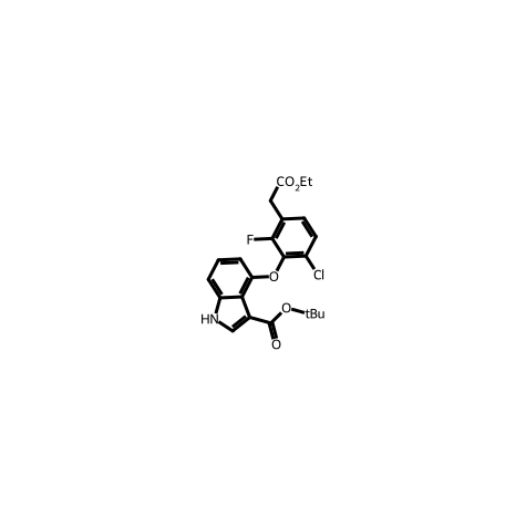 CCOC(=O)Cc1ccc(Cl)c(Oc2cccc3[nH]cc(C(=O)OC(C)(C)C)c23)c1F